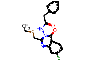 O=C(Cc1ccccc1)Nn1c(CSCC(F)(F)F)nc2cc(F)ccc2c1=O